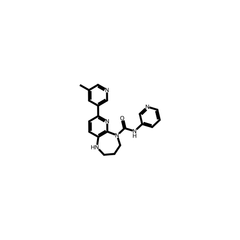 Cc1cncc(-c2ccc3c(n2)N(C(=O)Nc2cccnc2)CCCN3)c1